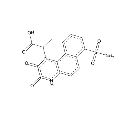 CC(C(=O)O)n1c(=O)c(=O)[nH]c2ccc3c(S(N)(=O)=O)cccc3c21